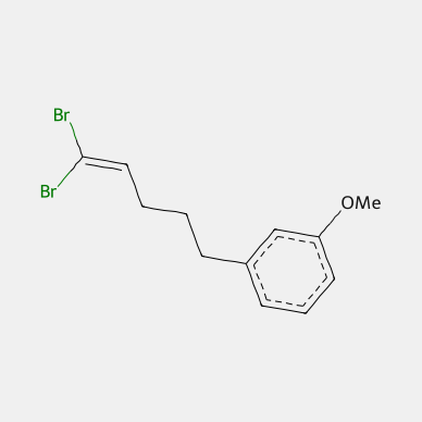 COc1cccc(CCCC=C(Br)Br)c1